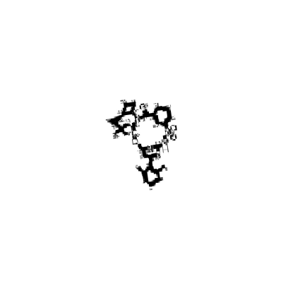 Cc1cccc(C)c1-c1cc2nc(n1)NS(=O)(=O)c1cccc(c1)C(=O)N(C1CCC1C1CC1)[C@H](CC(C)(C)C)CO2